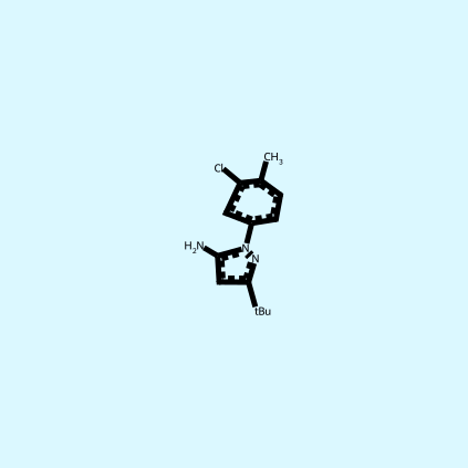 Cc1ccc(-n2nc(C(C)(C)C)cc2N)cc1Cl